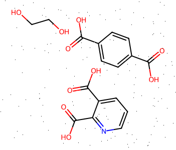 O=C(O)c1ccc(C(=O)O)cc1.O=C(O)c1cccnc1C(=O)O.OCCO